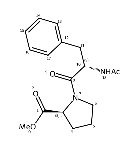 COC(=O)[C@@H]1CCCN1C(=O)[C@H](Cc1ccccc1)NC(C)=O